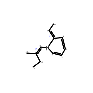 C/C=C1\C=CC=CN1/C=C(/C)CC